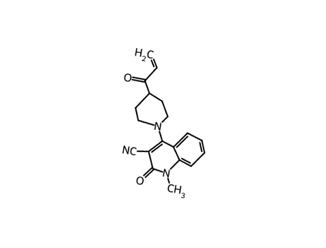 C=CC(=O)C1CCN(c2c(C#N)c(=O)n(C)c3ccccc23)CC1